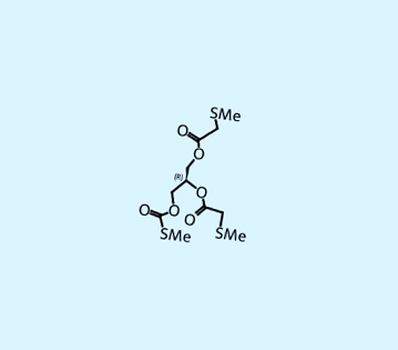 CSCC(=O)OC[C@H](COC(=O)SC)OC(=O)CSC